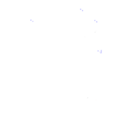 COC(=O)CCc1c[nH]c(C=C2C(=O)Nc3nc(C)c(-c4ccncc4)cc32)c1C